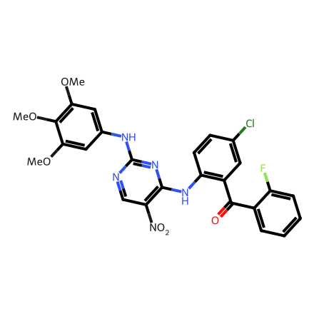 COc1cc(Nc2ncc([N+](=O)[O-])c(Nc3ccc(Cl)cc3C(=O)c3ccccc3F)n2)cc(OC)c1OC